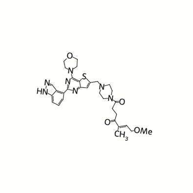 COCC=C(C)C(=O)CCC(=O)N1CCN(Cc2cc3nc(-c4cccc5[nH]ncc45)nc(N4CCOCC4)c3s2)CC1